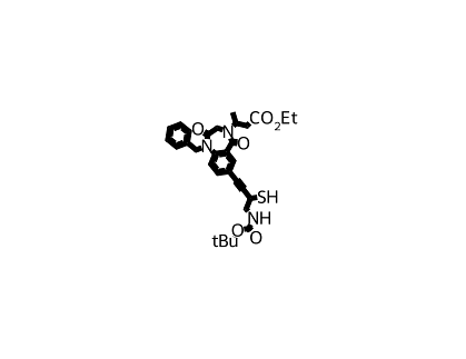 CCOC(=O)CC(C)N1CC(=O)N(Cc2ccccc2)c2ccc(C#CC(S)CNC(=O)OC(C)(C)C)cc2C1=O